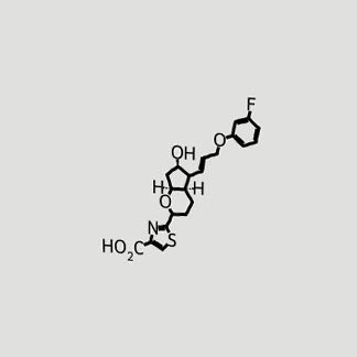 O=C(O)c1csc(C2CC[C@@H]3C(/C=C/COc4cccc(F)c4)[C@H](O)C[C@@H]3O2)n1